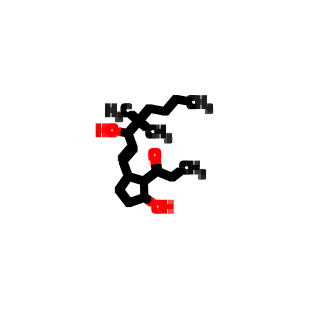 CCCCC(C)(C)C(O)C=CC1CCC(O)C1C(=O)CC